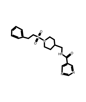 O=C(NCC1CCN(S(=O)(=O)CCc2ccccc2)CC1)c1cncnc1